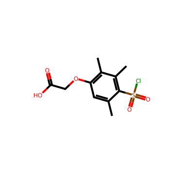 Cc1cc(OCC(=O)O)c(C)c(C)c1S(=O)(=O)Cl